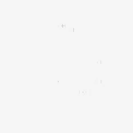 CS(=O)(=O)O.OCC(CC=Cc1ccccc1Cl)c1ccc(Cl)cc1Cl